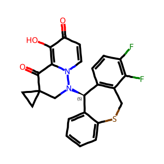 O=C1c2c(O)c(=O)ccn2N([C@@H]2c3ccccc3SCc3c2ccc(F)c3F)CC12CC2